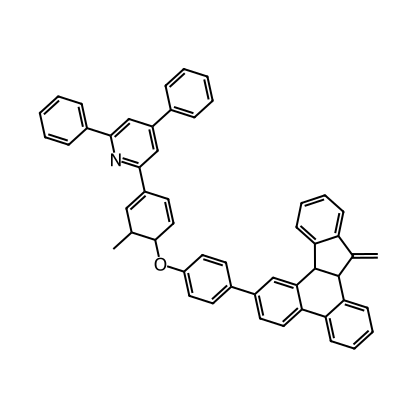 C=C1c2ccccc2C2c3cc(-c4ccc(OC5C=CC(c6cc(-c7ccccc7)cc(-c7ccccc7)n6)=CC5C)cc4)ccc3-c3ccccc3C12